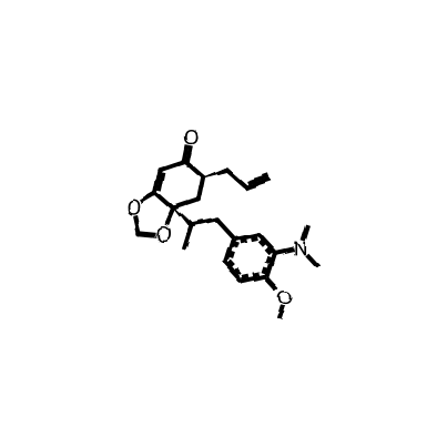 C=CC[C@H]1C[C@]2(C(C)Cc3ccc(OC)c(N(C)C)c3)OCOC2=CC1=O